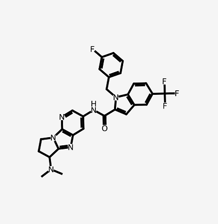 CN(C)C1CCn2c1nc1cc(NC(=O)c3cc4cc(C(F)(F)F)ccc4n3Cc3cccc(F)c3)cnc12